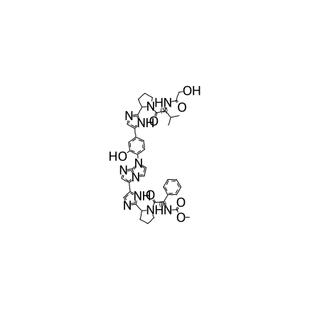 COC(=O)N[C@@H](C(=O)N1CCCC1c1ncc(-c2cnc3n(-c4ccc(-c5cnc(C6CCCN6C(=O)[C@@H](NC(=O)CO)C(C)C)[nH]5)cc4O)ccn23)[nH]1)c1ccccc1